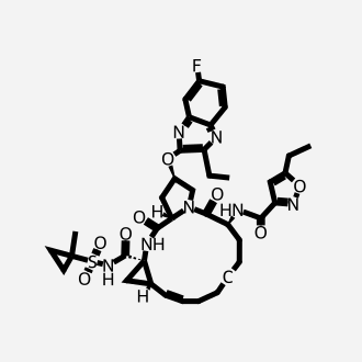 CCc1cc(C(=O)N[C@H]2CCCCCC=C[C@@H]3C[C@@]3(C(=O)NS(=O)(=O)C3(C)CC3)NC(=O)[C@@H]3C[C@@H](Oc4nc5cc(F)ccc5nc4CC)CN3C2=O)no1